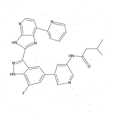 CC(C)CC(=O)Nc1cncc(-c2cc(F)c3[nH]nc(-c4nc5c(-c6ccccn6)ccnc5[nH]4)c3c2)c1